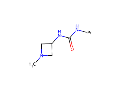 CC(C)NC(=O)NC1CN(C)C1